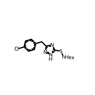 CCCCCCSc1nc(Cc2ccc(Cl)cc2)n[nH]1